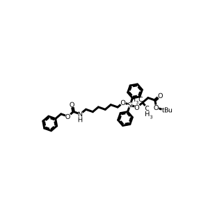 CC(C)(C)OC(=O)CC(C)(C)O[Si](OCCCCCCNC(=O)OCc1ccccc1)(c1ccccc1)c1ccccc1